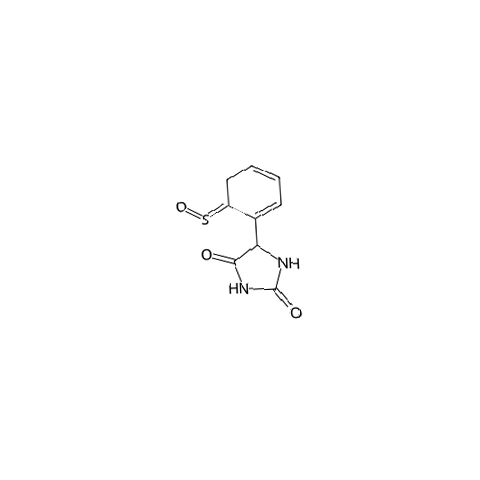 O=S=C1CC=CC=C1C1NC(=O)NC1=O